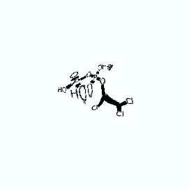 O=P(O)(O)OP(=O)(O)OC(Cl)=C(Cl)Cl